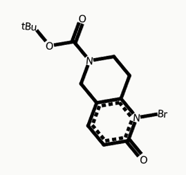 CC(C)(C)OC(=O)N1CCc2c(ccc(=O)n2Br)C1